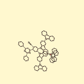 N#Cc1cc(-n2c3ccc(-n4c5ccccc5c5ccccc54)cc3c3cc(-n4c5ccccc5c5ccccc54)ccc32)c(-n2c3ccc(-n4c5ccccc5c5ccccc54)cc3c3cc(-n4c5ccccc5c5ccccc54)ccc32)cc1-c1cc(-c2ccccc2)nc(-c2ccccc2)n1